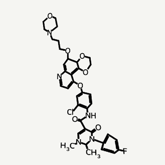 CC1N(C)C=C(C(=O)Nc2ccc(Oc3ccnc4c3=C3OCCOC3C(OCCCN3CCOCC3)C=4)cc2Cl)C(=O)N1c1ccc(F)cc1